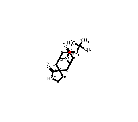 CC(C)(C)OC(=O)N1C2COCC1CC1(CCNC1=O)C2